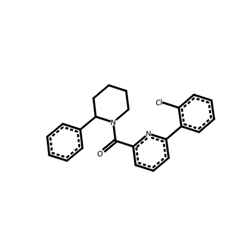 O=C(c1cccc(-c2ccccc2Cl)n1)N1CCCCC1c1ccccc1